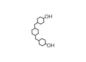 OC1CCC(CC2CCC(CC3CCC(O)CC3)CC2)CC1